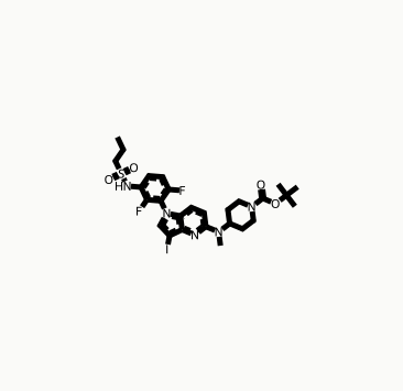 CCCS(=O)(=O)Nc1ccc(F)c(-n2cc(I)c3nc(N(C)C4CCN(C(=O)OC(C)(C)C)CC4)ccc32)c1F